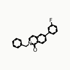 O=c1c2ccc(-c3cccc(F)c3)cc2ccn1Cc1ccccc1